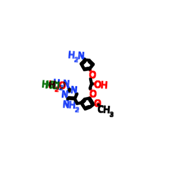 COc1ccc(Cc2cnc(N)nc2N)cc1OCC(O)COc1ccc(N)cc1.Cl.Cl.O